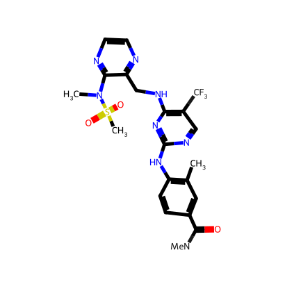 CNC(=O)c1ccc(Nc2ncc(C(F)(F)F)c(NCc3nccnc3N(C)S(C)(=O)=O)n2)c(C)c1